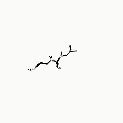 CC(C)CNC(=N)NCCO